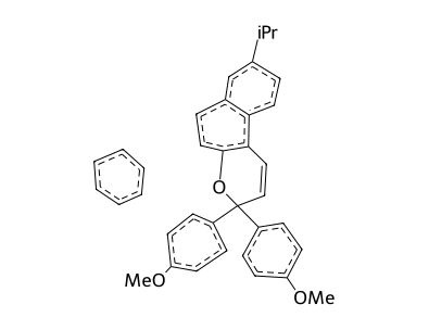 COc1ccc(C2(c3ccc(OC)cc3)C=Cc3c(ccc4cc(C(C)C)ccc34)O2)cc1.c1ccccc1